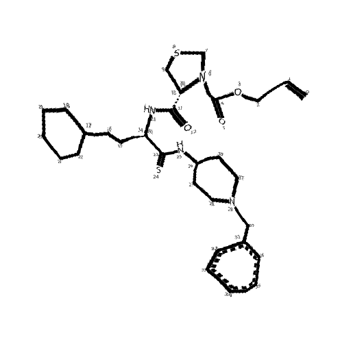 C=CCOC(=O)N1CSC[C@H]1C(=O)N[C@H](CCC1CCCCC1)C(=S)NC1CCN(Cc2ccccc2)CC1